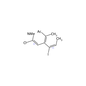 C/C=C(/I)C(/C=C(/Cl)NC)=C(C)C(C)=O